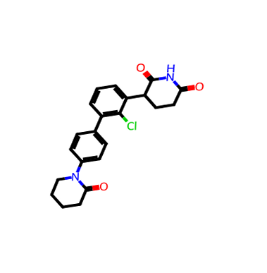 O=C1CCC(c2cccc(-c3ccc(N4CCCCC4=O)cc3)c2Cl)C(=O)N1